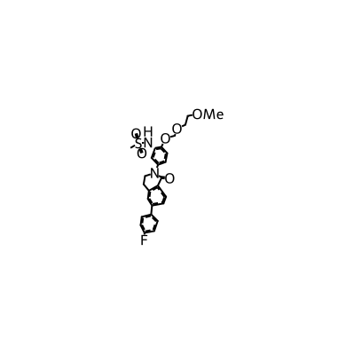 COCCOCOc1ccc(N2CCc3cc(-c4ccc(F)cc4)ccc3C2=O)cc1NS(C)(=O)=O